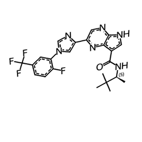 C[C@H](NC(=O)c1c[nH]c2ncc(-c3cn(-c4cc(C(F)(F)F)ccc4F)cn3)nc12)C(C)(C)C